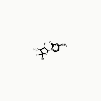 CCC1(CC)O[C@@H](n2ccc(N)nc2=O)[C@@H](F)[C@@H]1C